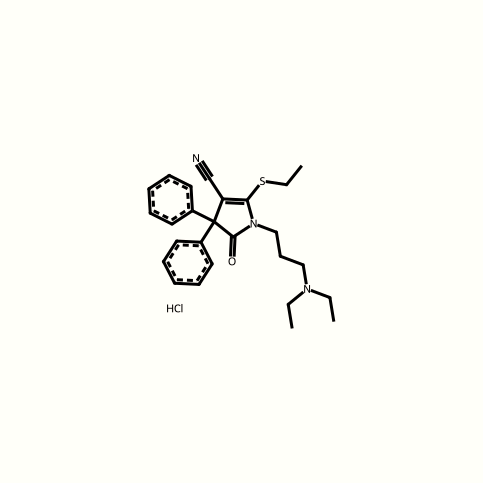 CCSC1=C(C#N)C(c2ccccc2)(c2ccccc2)C(=O)N1CCCN(CC)CC.Cl